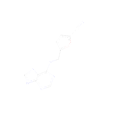 N#Cc1ccc(CNc2ncnc3[nH]cnc23)o1